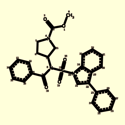 COC(=O)N1CCC(N(C(=O)c2ccccc2)S(=O)(=O)n2cc(-c3ccccc3)c3ccccc32)C1